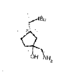 CC(C)(C)C[C@H]1CCC(O)(CN)C1